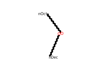 CCCCCCCCC=CCCCCCCCCCCCCCC(=O)OCCCCCCCCCCCCCCCCCCCCCCCCCC